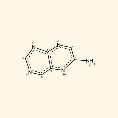 Nc1cnc2ncncc2n1